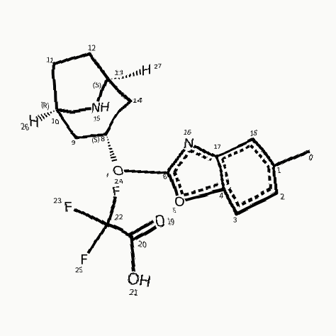 Cc1ccc2oc(O[C@@H]3C[C@H]4CC[C@@H](C3)N4)nc2c1.O=C(O)C(F)(F)F